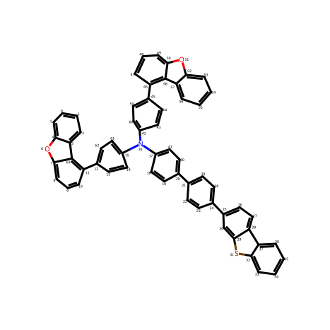 c1ccc2c(c1)oc1cccc(-c3ccc(N(c4ccc(-c5ccc(-c6ccc7c(c6)sc6ccccc67)cc5)cc4)c4ccc(-c5cccc6oc7ccccc7c56)cc4)cc3)c12